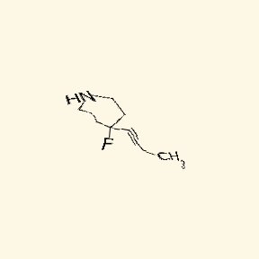 CC#CC1(F)CCNCC1